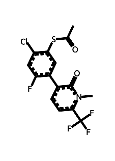 CC(=O)Sc1cc(-c2ccc(C(F)(F)F)n(C)c2=O)c(F)cc1Cl